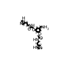 NCc1cc(OCC(=O)NCCc2cnc[nH]2)cc(OCC(=O)NCCc2cnc[nH]2)c1